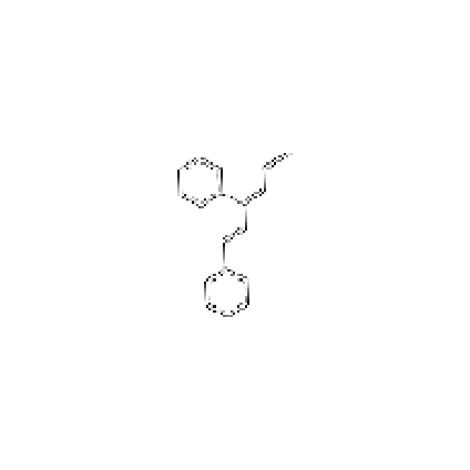 [CH]=CC=C(C=Cc1ccccc1)c1ccccc1